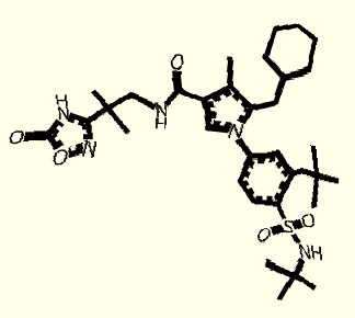 Cc1c(C(=O)NCC(C)(C)c2noc(=O)[nH]2)cn(-c2ccc(S(=O)(=O)NC(C)(C)C)c(C(C)(C)C)c2)c1CC1CCCCC1